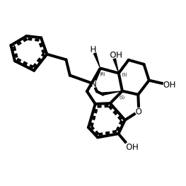 Oc1ccc2c3c1OC1C(O)CC[C@@]4(O)[C@@H](C2)N(CCc2ccccc2)CC[C@]314